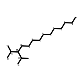 CCCCCCCCCCCC(C(C)C)C(C)C